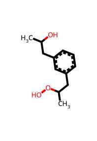 CC(O)Cc1cccc(CC(C)OO)c1